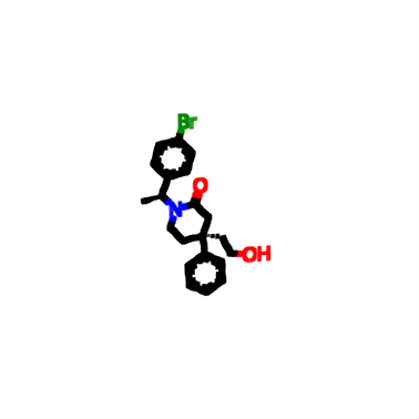 C[C@@H](c1ccc(Br)cc1)N1CC[C@](CCO)(c2ccccc2)CC1=O